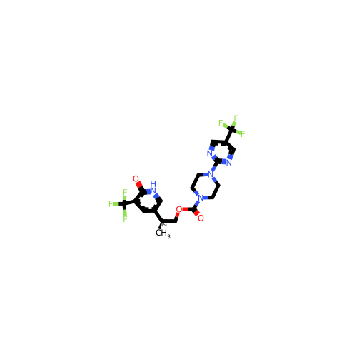 C[C@H](COC(=O)N1CCN(c2ncc(C(F)(F)F)cn2)CC1)c1c[nH]c(=O)c(C(F)(F)F)c1